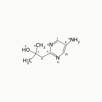 CC(C)(O)Cc1ncc(N)cn1